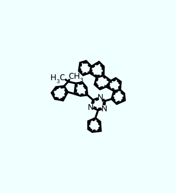 CC1(C)c2ccccc2-c2cc(-c3nc(-c4ccccc4)nc(-c4cccc5ccc6c7ccc8ccccc8c7ccc6c45)n3)ccc21